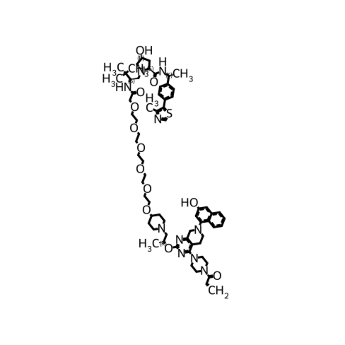 C=CC(=O)N1CCN(c2nc(O[C@H](C)CN3CCC(OCCOCCOCCOCCOCCOCC(=O)N[C@H](CN4C[C@H](O)C[C@H]4C(=O)N[C@@H](C)c4ccc(-c5scnc5C)cc4)C(C)(C)C)CC3)nc3c2CCN(c2cc(O)cc4ccccc24)C3)CC1